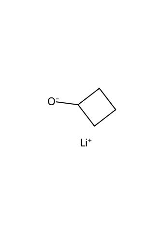 [Li+].[O-]C1CCC1